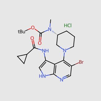 CN(C(=O)OC(C)(C)C)[C@@H]1CCCN(c2c(Br)cnc3[nH]cc(NC(=O)C4CC4)c23)C1.Cl